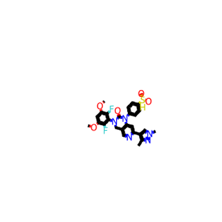 COc1cc(OC)c(F)c(N2Cc3cnc(-c4cn(C)nc4C)cc3N(c3ccc([SH](=O)=O)cc3)C2=O)c1F